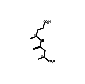 C[C@@H](CCC(=O)O)NC(=O)C[C@H](C)C(=O)O